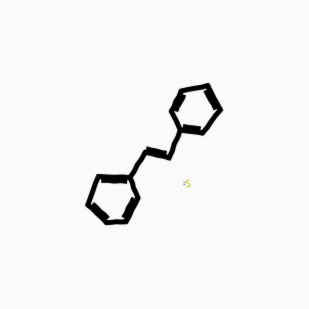 C(=Cc1ccccc1)c1ccccc1.[S]